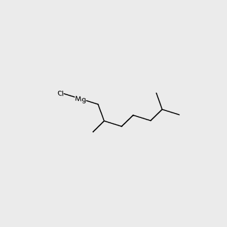 CC(C)CCCC(C)[CH2][Mg][Cl]